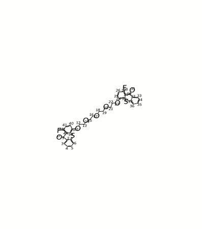 O=c1c2ccccc2sc2c(OCCOCCOCCOCCOc3ccc(F)c4c(=O)c5ccccc5sc34)ccc(F)c12